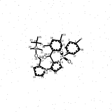 Cc1ccc(S(=O)(=O)n2ccc(-n3cccc3CO[Si](C)(C)C(C)(C)C)c2C(O)c2ccc(C)cc2C)cc1